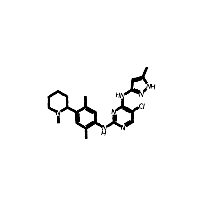 Cc1cc(Nc2nc(Nc3cc(C)c(C4CCCCN4C)cc3C)ncc2Cl)n[nH]1